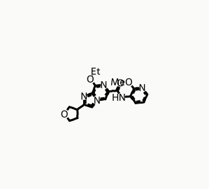 CCOc1nc(C(=O)Nc2cccnc2OC)cn2cc(C3CCOC3)nc12